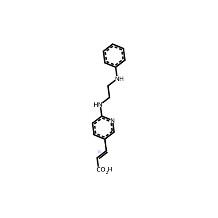 O=C(O)/C=C/c1ccc(NCCNc2ccccc2)nc1